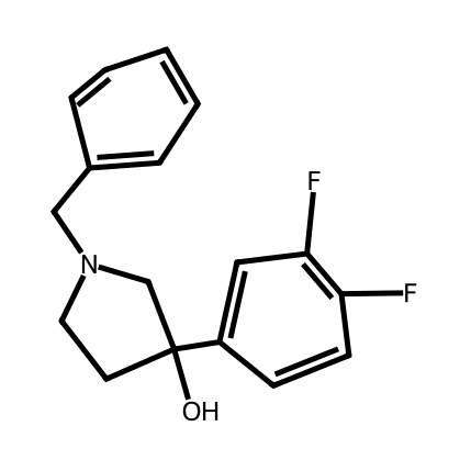 OC1(c2ccc(F)c(F)c2)CCN(Cc2ccccc2)C1